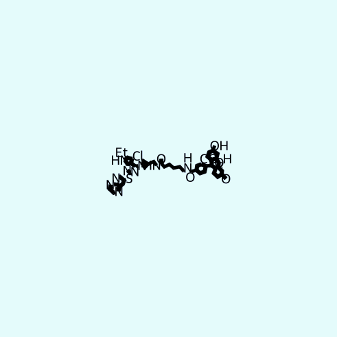 CCc1[nH]c2nc(Sc3cnc4nccnc4c3)nc(N3CC(CNC(=O)CCCCCNC(=O)c4ccc(-c5c6ccc(=O)cc-6oc6cc(O)ccc56)c(C(=O)O)c4)C3)c2c1Cl